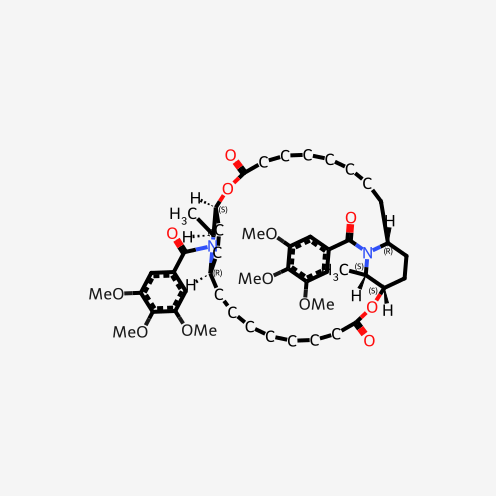 COc1cc(C(=O)N2[C@@H]3CCCCCCCC(=O)O[C@H]4CC[C@@H](CCCCCCCC(=O)O[C@@H](CC3)[C@@H]2C)N(C(=O)c2cc(OC)c(OC)c(OC)c2)[C@H]4C)cc(OC)c1OC